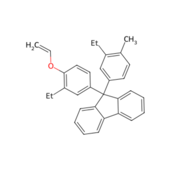 C=COc1ccc(C2(c3ccc(C)c(CC)c3)c3ccccc3-c3ccccc32)cc1CC